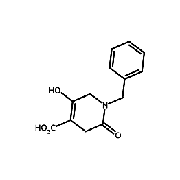 O=C(O)C1=C(O)CN(Cc2ccccc2)C(=O)C1